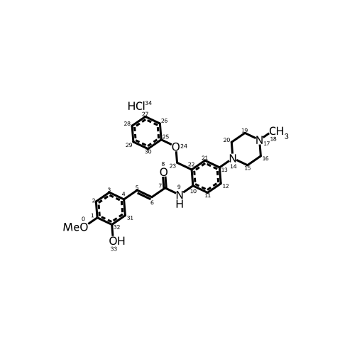 COc1ccc(C=CC(=O)Nc2ccc(N3CCN(C)CC3)cc2COc2ccccc2)cc1O.Cl